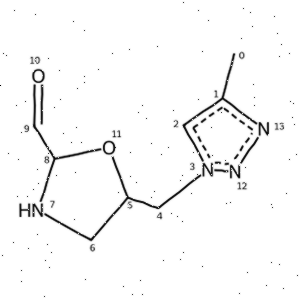 Cc1cn(CC2CNC(C=O)O2)nn1